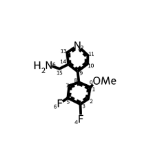 COc1cc(F)c(F)cc1-c1ccncc1CN